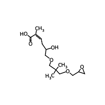 CC(=CCC(O)COCC(C)(C)COCC1CO1)C(=O)O